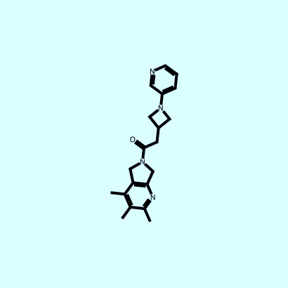 Cc1nc2c(c(C)c1C)CN(C(=O)CC1CN(c3cccnc3)C1)C2